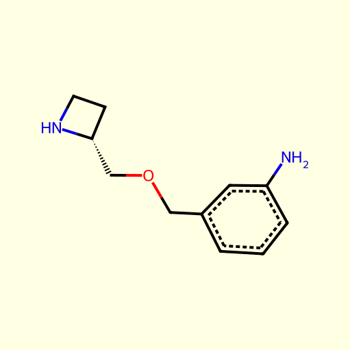 Nc1cccc(COC[C@H]2CCN2)c1